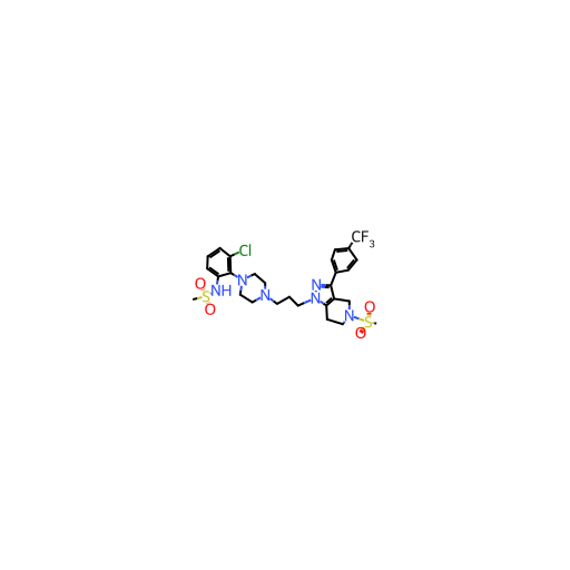 CS(=O)(=O)Nc1cccc(Cl)c1N1CCN(CCCn2nc(-c3ccc(C(F)(F)F)cc3)c3c2CCN(S(C)(=O)=O)C3)CC1